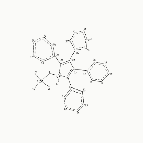 C[Si](C)(C)C[Si]1(C)C(c2ccccc2)=C(c2ccccc2)C(c2ccccc2)=C1c1ccccc1